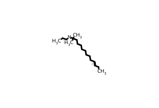 CC/C=C/CCCCCCCCC(C)(C)[N]CCC